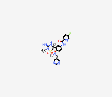 CCN(Cc1cncnc1)C[C@H]1[C@@](C)(c2cc(NC(=O)c3ccc(F)cn3)ccc2F)NC(=N)N(C)S1(=O)=O